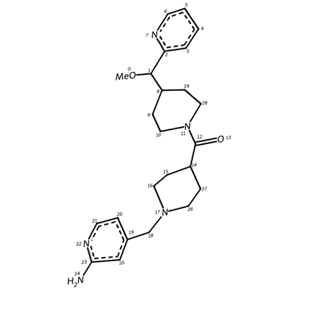 COC(c1ccccn1)C1CCN(C(=O)C2CCN(Cc3ccnc(N)c3)CC2)CC1